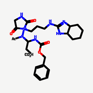 CC(=O)N(C(CC(=O)O)NC(=O)OCc1ccccc1)[N+]1(CCCNC2=NC3CCCCC3N2)C(=O)CNC1=O